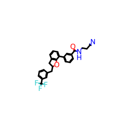 N#CCCNC(=O)c1cccc(-c2cccc3c2OC(Cc2cccc(C(F)(F)F)c2)C3)c1